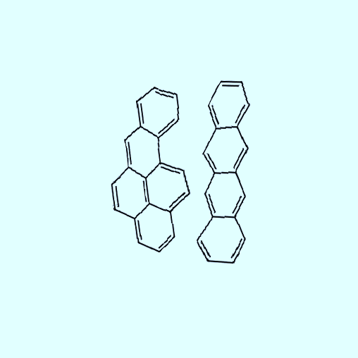 c1ccc2c(c1)cc1ccc3cccc4ccc2c1c34.c1ccc2cc3cc4ccccc4cc3cc2c1